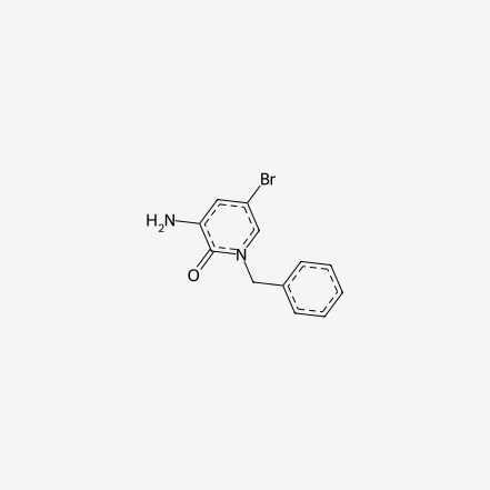 Nc1cc(Br)cn(Cc2ccccc2)c1=O